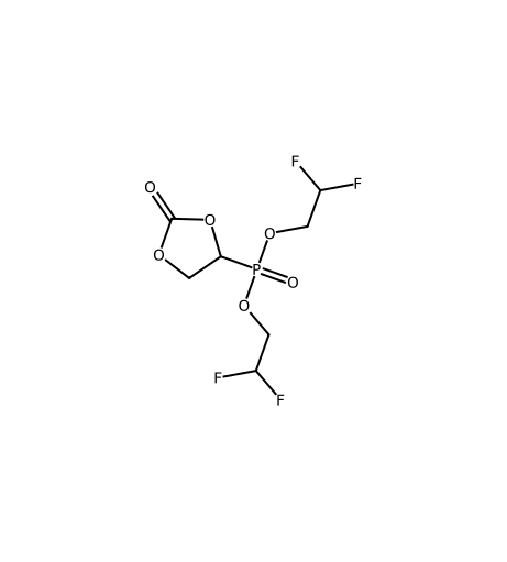 O=C1OCC(P(=O)(OCC(F)F)OCC(F)F)O1